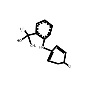 CC(C)(O)c1ccccc1NC1=CCC(Cl)C=C1